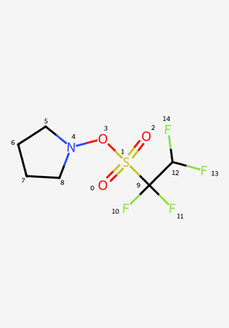 O=S(=O)(ON1CCCC1)C(F)(F)C(F)F